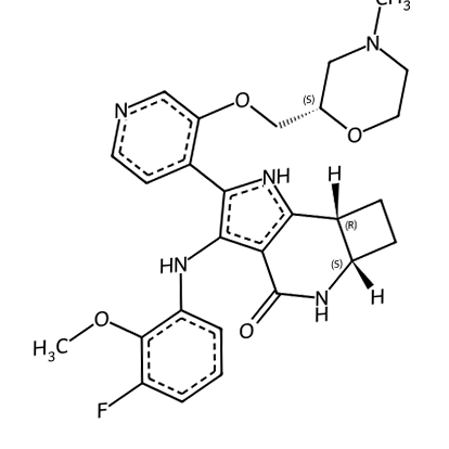 COc1c(F)cccc1Nc1c(-c2ccncc2OC[C@@H]2CN(C)CCO2)[nH]c2c1C(=O)N[C@H]1CC[C@@H]21